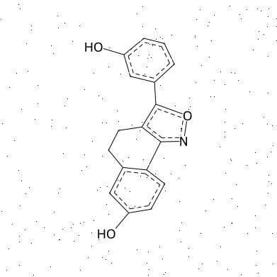 Oc1cccc(-c2onc3c2CCc2cc(O)ccc2-3)c1